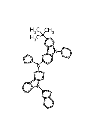 CC(C)(C)c1ccc2c(c1)c1cc(N(c3ccccc3)c3ccc4c(c3)c3ccccc3n4-c3ccc4ccccc4c3)ccc1n2-c1ccccc1